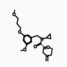 COCCCOc1cc(CN(C(=O)[C@H]2CNCCO2)C2CC2)cc(OC)c1